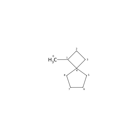 CC1CCC12CCCC2